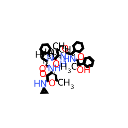 CCC[C@H](NC(=O)[C@@H]1C[C@@H]2CCCC[C@@H]2N1C(=O)[C@@H](NC(=O)C(NC(=O)C(C)(O)c1ccccc1)C1CCCCC1)C(C)(C)C)C(=O)C(=O)NC1CC1